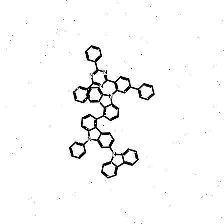 c1ccc(-c2ccc(-c3nc(-c4ccccc4)nc(-c4ccccc4)n3)c(-n3c4ccccc4c4c(-c5cccc6c5c5ccc(-n7c8ccccc8c8ccccc87)cc5n6-c5ccccc5)cccc43)c2)cc1